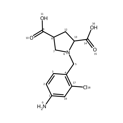 Nc1ccc(CN2CC(C(=O)O)CC2C(=O)O)c(Cl)c1